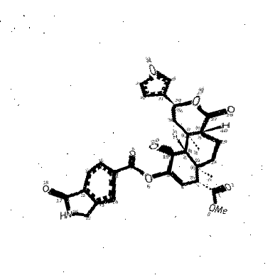 COC(=O)[C@@H]1C=C(OC(=O)c2ccc3c(c2)CNC3=O)C(=O)[C@H]2[C@@]1(C)CC[C@H]1C(=O)O[C@H](c3ccoc3)C[C@]21C